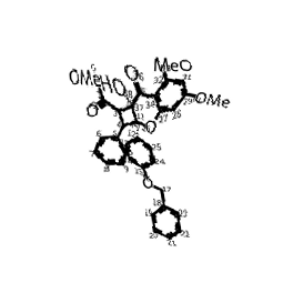 COC(=O)C1C(c2ccccc2)[C@]2(c3ccc(OCc4ccccc4)cc3)Oc3cc(OC)cc(OC)c3C(=O)[C@]12O